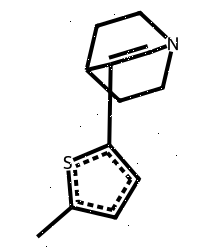 Cc1ccc(C2=CN3CCC2CC3)s1